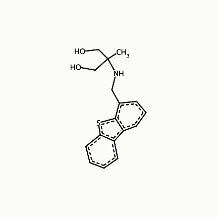 CC(CO)(CO)NCc1cccc2c1sc1ccccc12